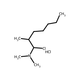 CCCCCC(C)C(Cl)N(C)C.Cl